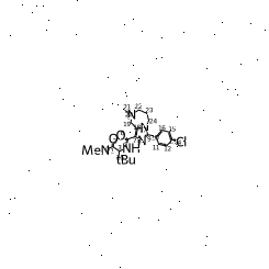 CNC(=O)C(NC(=O)c1nc(-c2ccc(Cl)cc2)n2c1CN(C)CCC2)C(C)(C)C